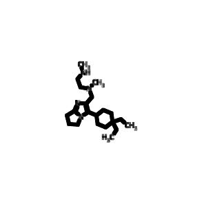 CCC1(CC)CCC(c2c(CN(C)CCNC)nc3n2CCC3)CC1